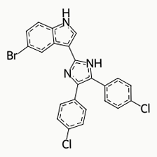 Clc1ccc(-c2nc(-c3c[nH]c4ccc(Br)cc34)[nH]c2-c2ccc(Cl)cc2)cc1